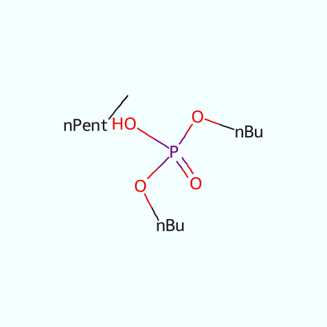 CCCCCC.CCCCOP(=O)(O)OCCCC